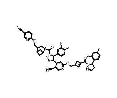 Cc1ccc(C2CC=NN2C(=O)C23CC(COc4cc(C5C=NN(C(=O)[C@H]6CC(COc7ccc(C#N)cn7)C7CC6C7)C5c5ccc(C)c(F)c5)c(C#N)cn4)(C2)C3)c(F)c1